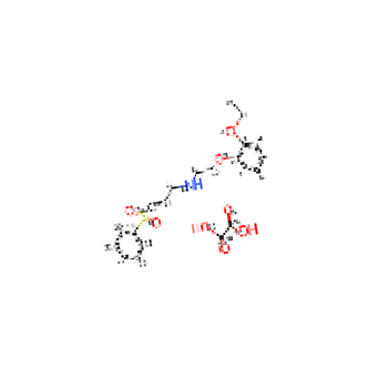 CCOc1ccccc1OCCNCCCS(=O)(=O)c1ccccc1.O=C(O)C(=O)O